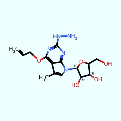 C=CCOc1nc(NN)nc2c1c(C)cn2[C@H]1OC(CO)[C@@H](O)[C@H]1O